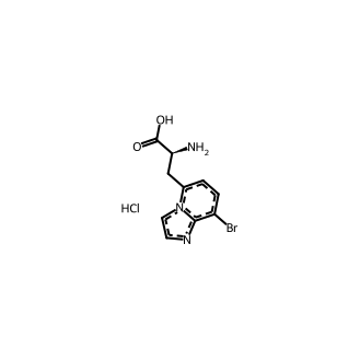 Cl.N[C@@H](Cc1ccc(Br)c2nccn12)C(=O)O